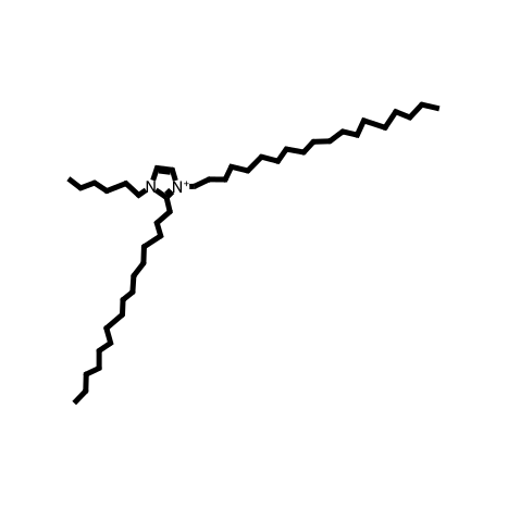 CCCCCCCCCCCCCCCCCCC[n+]1ccn(CCCCCC)c1CCCCCCCCCCCCCCCC